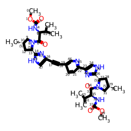 COC(=O)N[C@H](C(=O)N1C[C@@H](C)C[C@H]1c1nc(C#Cc2ccc(-c3c[nH]c([C@@H]4C[C@H](C)CN4C(=O)[C@@H](NC(=O)OC)C(C)C)n3)nc2)c[nH]1)C(C)C